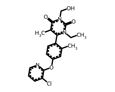 CCn1c(-c2ccc(Oc3ncccc3Cl)cc2C)c(C)c(=O)n(CO)c1=O